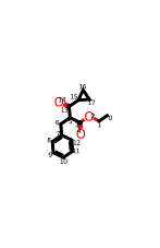 CCOC(=O)C(Cc1ccccc1)C(=O)C1CC1